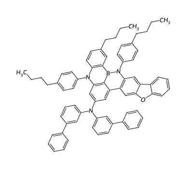 CCCCc1ccc(N2B3c4cc(CCCC)ccc4N(c4ccc(CCCC)cc4)c4cc(N(c5cccc(-c6ccccc6)c5)c5cccc(-c6ccccc6)c5)cc(c43)-c3cc4oc5ccccc5c4cc32)cc1